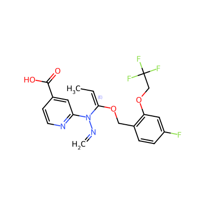 C=NN(/C(=C\C)OCc1ccc(F)cc1OCC(F)(F)F)c1cc(C(=O)O)ccn1